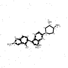 Cl.Cn1cc2c(Cl)c(-c3c[nH]c4nc(N5CC[C@H](N)[C@@H](O)C5)cnc34)ccc2n1